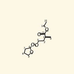 C=C(CCOOC1CCCO1)C(=O)OCC